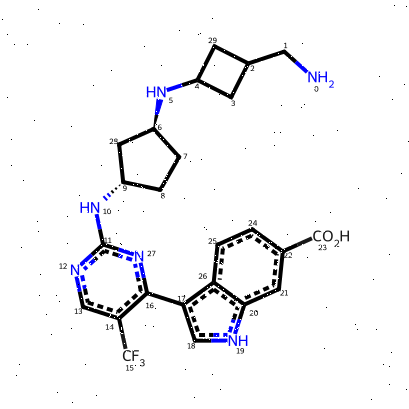 NCC1CC(N[C@H]2CC[C@H](Nc3ncc(C(F)(F)F)c(-c4c[nH]c5cc(C(=O)O)ccc45)n3)C2)C1